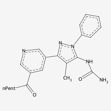 CCCCCC(=O)c1cncc(-c2nn(-c3ccccc3)c(NC(N)=O)c2C)c1